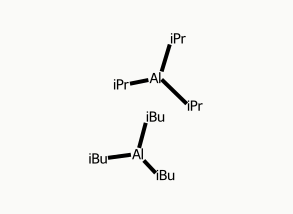 CC[CH](C)[Al]([CH](C)CC)[CH](C)CC.C[CH](C)[Al]([CH](C)C)[CH](C)C